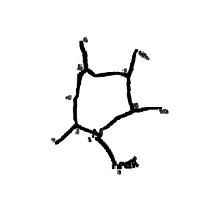 CCCCCN1C(C)CC(C)C(C)C1C